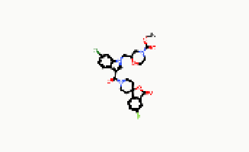 CC(C)(C)OC(=O)N1CCOC(Cn2cc(C(=O)N3CCC4(CC3)OC(=O)c3cc(F)ccc34)c3ccc(Cl)cc32)C1